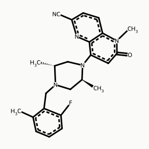 Cc1cccc(F)c1CN1C[C@H](C)N(c2cc(=O)n(C)c3ccc(C#N)nc23)C[C@H]1C